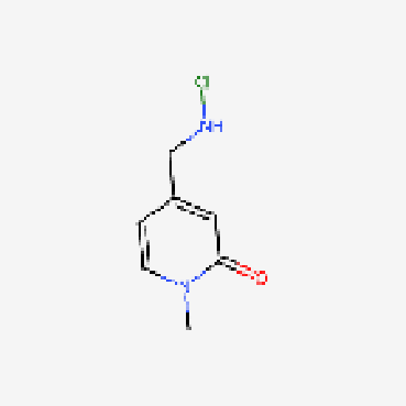 Cn1ccc(CNCl)cc1=O